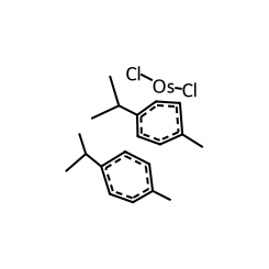 Cc1ccc(C(C)C)cc1.Cc1ccc(C(C)C)cc1.[Cl][Os][Cl]